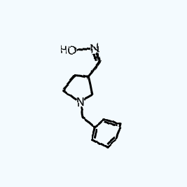 O/N=C\C1CCN(Cc2ccccc2)C1